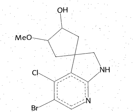 COC1CC2(CNc3ncc(Br)c(Cl)c32)CC1O